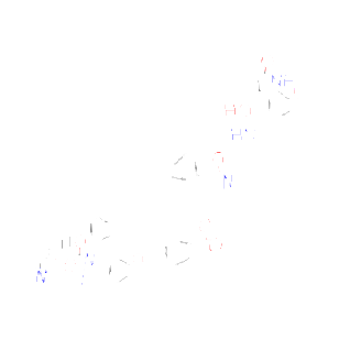 O=C(NC(c1ccccc1)c1cccc(OCc2ccc(C(=O)OCCCN(CCCNCC(O)c3ccc(O)c4[nH]c(=O)ccc34)C(=O)Cc3ccccc3)cc2)c1)O[C@H]1CN2CCC1CC2